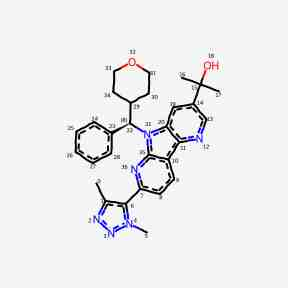 Cc1nnn(C)c1-c1ccc2c3ncc(C(C)(C)O)cc3n([C@@H](c3ccccc3)C3CCOCC3)c2n1